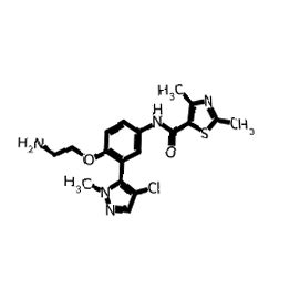 Cc1nc(C)c(C(=O)Nc2ccc(OCCN)c(-c3c(Cl)cnn3C)c2)s1